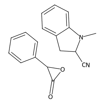 CN1c2ccccc2CC1C#N.O=C1OC1c1ccccc1